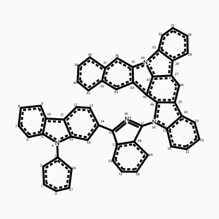 c1ccc(-n2c3ccccc3c3ccc(C4=[N+]=C(n5c6ccccc6c6cc7c8ccccc8n8c9cc%10ccccc%10cc9c(c65)c78)c5ccccc54)cc32)cc1